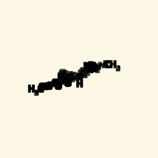 CCCCCCOC(=O)/N=C(\N)c1ccc(NCCc2cccc(C(=O)N(CCC(=O)OCCOCCOC)c3ccccn3)c2)cc1